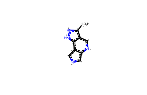 O=C(O)c1[nH][nH]c2c1cnc1cncc12